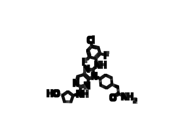 NC(=O)C[C@H]1CC[C@@H](n2c(Nc3c(F)cc(Cl)cc3F)nc3cnc(N[C@H]4CC[C@H](O)C4)nc32)CC1